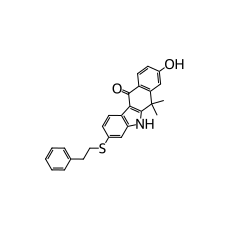 CC1(C)c2cc(O)ccc2C(=O)c2c1[nH]c1cc(SCCc3ccccc3)ccc21